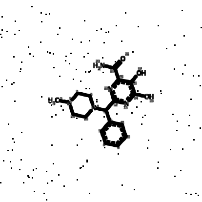 CN1CCN(C(c2ccccc2)c2nc(O)c(O)c(C(N)=O)n2)CC1